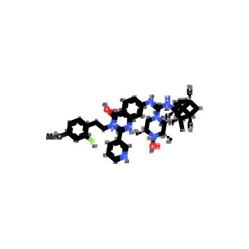 COc1ccc(CCn2c(-c3cccnc3)nc3cc(N=C(N[C@H]4C[C@H]5C[C@H]([C@H]4C)C5(C)C)N4C[C@@H](C)N(O)[C@@H](C)C4)ccc3c2=O)c(F)c1